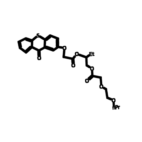 CCCOCCOCC(=O)OCC(CC)OC(=O)COc1ccc2sc3ccccc3c(=O)c2c1